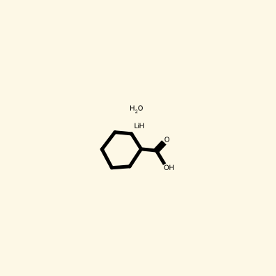 O.O=C(O)C1CCCCC1.[LiH]